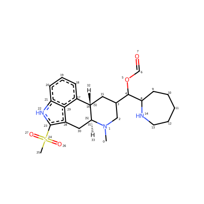 CN1CC(C(OC=O)C2CCCCCN2)C[C@H]2c3cccc4[nH]c(S(C)(=O)=O)c(c34)C[C@@H]21